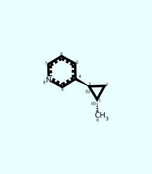 C[C@H]1C[C@@H]1c1cccnc1